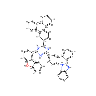 c1ccc2c(c1)nc1c3ccccc3c3cc(-c4nc(-c5ccc6c7ccccc7c7ccccc7c6c5)nc(-c5cccc6oc7ccccc7c56)n4)ccc3n21